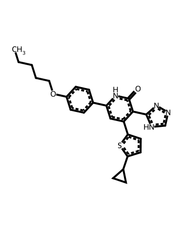 CCCCCOc1ccc(-c2cc(-c3ccc(C4CC4)s3)c(-c3nnc[nH]3)c(=O)[nH]2)cc1